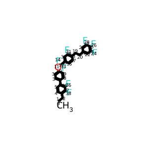 CCCc1ccc(-c2ccc(OC(F)(F)c3ccc(CCc4cc(F)c(F)c(F)c4)c(F)c3)cc2)c(F)c1F